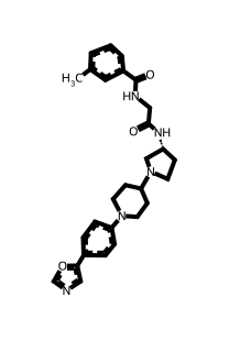 Cc1cccc(C(=O)NCC(=O)N[C@@H]2CCN(C3CCN(c4ccc(-c5cnco5)cc4)CC3)C2)c1